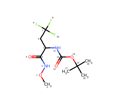 CONC(=O)C(CC(F)(F)F)NC(=O)OC(C)(C)C